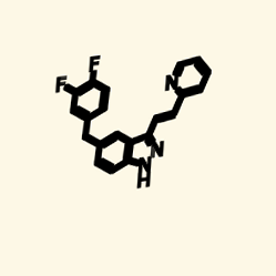 Fc1ccc(Cc2ccc3[nH]nc(C=Cc4ccccn4)c3c2)cc1F